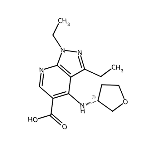 CCc1nn(CC)c2ncc(C(=O)O)c(N[C@@H]3CCOC3)c12